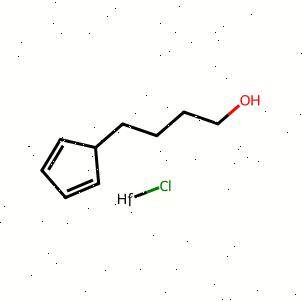 OCCCCC1C=CC=C1.[Cl][Hf]